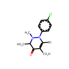 CCC1=C(C(=O)O)C(=O)C(C(=O)O)N(C)N1c1ccc(Cl)cc1